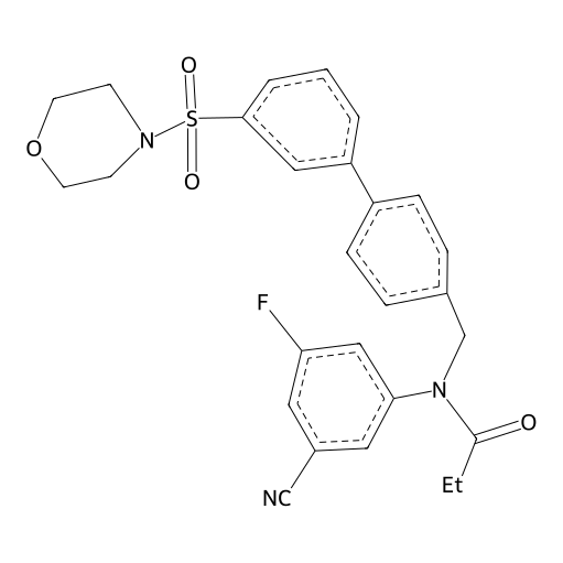 CCC(=O)N(Cc1ccc(-c2cccc(S(=O)(=O)N3CCOCC3)c2)cc1)c1cc(F)cc(C#N)c1